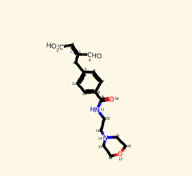 O=C/C(=C/C(=O)O)Cc1ccc(C(=O)NCCN2CCOCC2)cc1